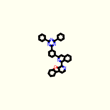 c1ccc(-c2nc(-c3ccccc3)nc(-c3cccc(-c4cc5ccccc5c(-c5nccc6c5oc5ccccc56)n4)c3)n2)cc1